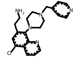 NCCc1cc(Cl)c2cccnc2c1N1CCN(Cc2ccncc2)CC1